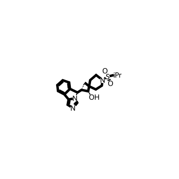 CC(C)S(=O)(=O)N1CCC2(CC1)C[C@@H]([C@H]1c3ccccc3-c3cncn31)[C@H]2O